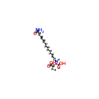 CC(C(=O)O)N(C)C.CCCC(=O)O.CCCCCCCCCCCCCCCC(N)=O